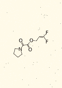 O=C(OCC=C(F)F)C(=O)N1CCCC1